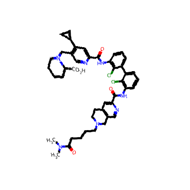 CN(C)C(=O)CCCCN1CCc2cc(C(=O)Nc3cccc(-c4cccc(NC(=O)c5cc(C6CC6)c(CN6CCCCC6C(=O)O)cn5)c4Cl)c3Cl)ncc2C1